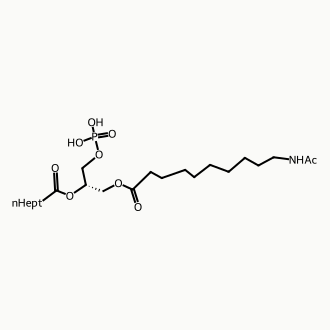 CCCCCCCC(=O)O[C@@H](COC(=O)CCCCCCCCCNC(C)=O)COP(=O)(O)O